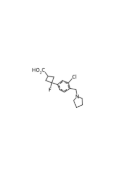 O=C(O)C1CC(F)(c2ccc(CN3CCCC3)c(Cl)c2)C1